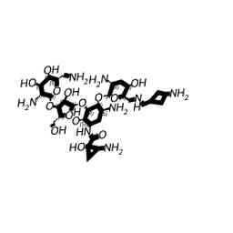 NC[C@@H]1O[C@H](O[C@H]2[C@@H](O)[C@H](O[C@@H]3[C@@H](O)[C@H](NC(=O)C4(O)CC4N)C[C@H](N)[C@H]3O[C@H]3O[C@H](CNCC4CC(N)C4)[C@@H](O)C[C@H]3N)O[C@@H]2CO)[C@H](N)[C@@H](O)[C@@H]1O